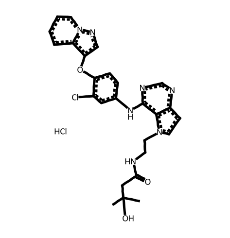 CC(C)(O)CC(=O)NCCn1ccc2ncnc(Nc3ccc(Oc4cnn5ccccc45)c(Cl)c3)c21.Cl